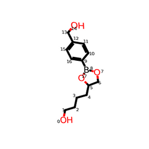 OCCCCC1COB(c2ccc(CO)cc2)O1